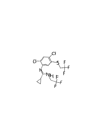 FC(F)(F)CN/C(=N\c1cc(SCC(F)(F)F)c(Cl)cc1Cl)C1CC1